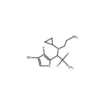 CC(F)(F)C(c1scc(C#N)c1F)N(CCN)C1CC1